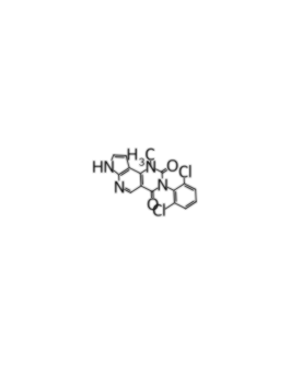 Cn1c(=O)n(-c2c(Cl)cccc2Cl)c(=O)c2cnc3[nH]ccc3c21